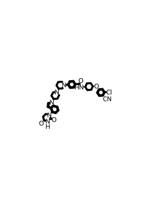 N#Cc1ccc(O[C@H]2CC[C@H](NC(=O)c3ccc(N4CCCC(N5CCC(n6ccc7c(N8CCC(=O)NC8=O)cccc76)CC5)C4)cc3)CC2)cc1Cl